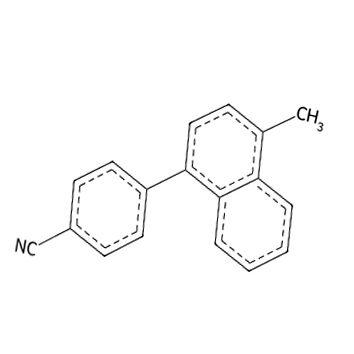 Cc1ccc(-c2ccc(C#N)cc2)c2ccccc12